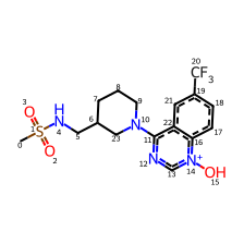 CS(=O)(=O)NCC1CCCN(c2nc[n+](O)c3ccc(C(F)(F)F)cc23)C1